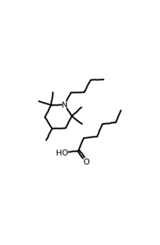 CCCCCC(=O)O.CCCCN1C(C)(C)CC(C)CC1(C)C